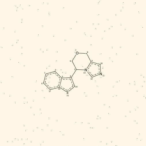 c1ccc2c(C3COCc4cncn43)csc2c1